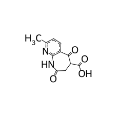 Cc1ccc2c(n1)NC(=O)CC(C(=O)O)C2=O